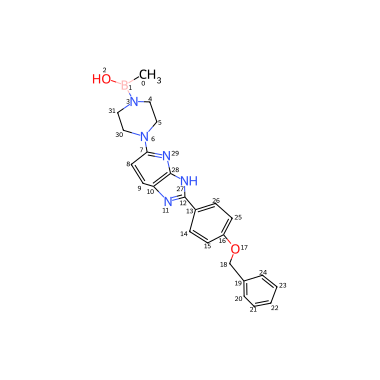 CB(O)N1CCN(c2ccc3nc(-c4ccc(OCc5ccccc5)cc4)[nH]c3n2)CC1